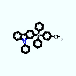 Cc1ccc([Si](c2ccccc2)(c2ccccc2)c2ccc3c4ccccc4n(-c4ccccc4)c3c2)cc1